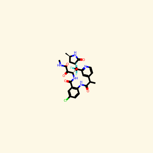 CNC(=O)C(=O)[C@H](C[C@@H]1C[C@@H](C)NC1=O)NC(=O)c1cc(Cl)ccc1NC(=O)C(C)c1ccnc(C(F)(F)F)c1